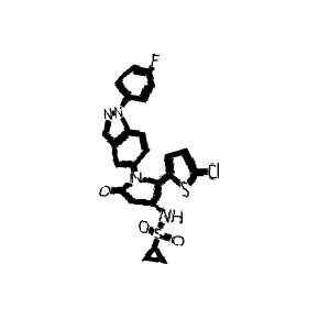 O=C1C[C@H](NS(=O)(=O)C2CC2)C(c2ccc(Cl)s2)N1c1ccc2c(cnn2-c2ccc(F)cc2)c1